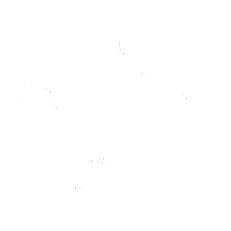 COc1ccc(C2=NN(Cc3cccc(NC(=O)OCCN4CCCC4)c3)C(=O)SC2)cc1OC